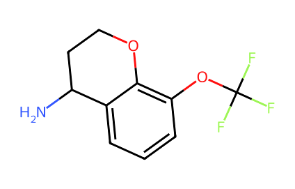 NC1CCOc2c(OC(F)(F)F)cccc21